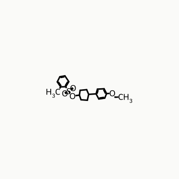 CCOc1ccc(C2CCC(OS(=O)(=O)c3ccccc3C)CC2)cc1